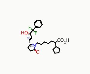 O=C(O)C(CCCCCN1C(=O)CC[C@@H]1/C=C/[C@@H](O)C(F)(F)c1ccccc1)C1CCCC1